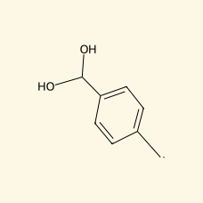 [CH2]c1ccc(C(O)O)cc1